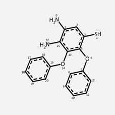 Nc1cc(S)c(Oc2ccccc2)c(Oc2ccccc2)c1N